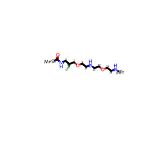 CSC(=O)NCC(F)COCCNCCOCCNC(C)C